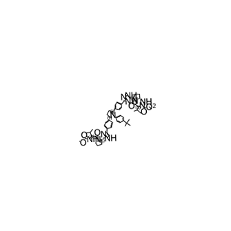 COC(=O)N[C@H](C(=O)N1CCC[C@H]1c1nc(-c2ccc([C@@H]3CC[C@@H](c4ccc(C5=NNC([C@@H]6CCCN6C(=O)[C@H](C(C)C)N(N)C(=O)OC)N5)cc4)N3c3ccc(C(C)(C)C)cc3)cc2)c[nH]1)C(C)C